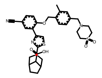 Cc1cc(CN2CCS(=O)(=O)CC2)ccc1COc1ccc(C#N)cc1-c1csc(N2CC3CCC(C2)C3C(=O)O)n1